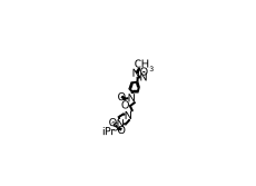 Cc1nc(-c2ccc(N3CC(CN4CCN(S(=O)(=O)C(C)C)CC4)OC3=O)cc2)no1